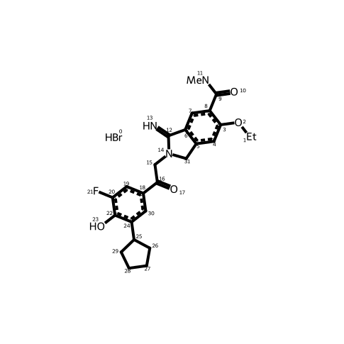 Br.CCOc1cc2c(cc1C(=O)NC)C(=N)N(CC(=O)c1cc(F)c(O)c(C3CCCC3)c1)C2